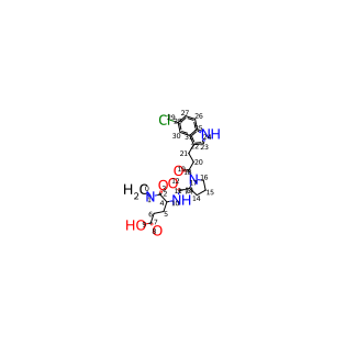 C=NC(=O)C(CCC(=O)O)NC(=O)[C@@H]1CCCN1C(=O)CCc1c[nH]c2ccc(Cl)cc12